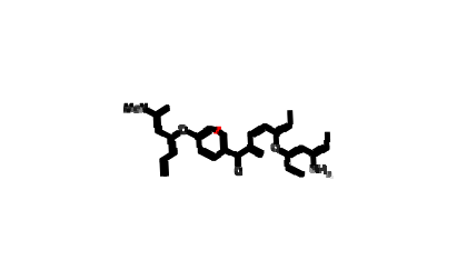 C=C/C=C(\C=C(/C)NC)OC(/C=C\C(=C/C)C(=O)C(=C)/C=C\C(=C/C)O/C(C=C)=C/C(N)=C\C)=C/C